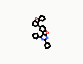 c1ccc(-c2nc(-c3ccccc3)c3c(n2)oc2ccc(-c4cccc5oc6ccccc6c45)cc23)cc1